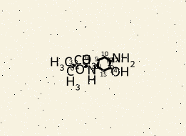 CC(C)(C)OC(=O)N[C@H]1CC[C@H](N)C(O)C1